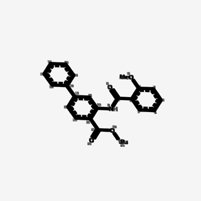 COc1ccccc1C(=O)Nc1cc(-c2ccccc2)ccc1C(=O)OC(C)(C)C